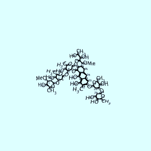 COC1C[C@H](O[C@@H]2C[C@H](O[C@@H]3C[C@H](O[C@@H]4C(=O)c5c(cc6cc(O[C@H]7C[C@@H](O[C@H]8C[C@@H](O)[C@H](O)C(C)O8)[C@H](O)C(C)O7)c(C)c(O)c6c5O)C[C@H]4C(OC)C(=O)[C@@H](O)[C@@H](C)O)OC(C)[C@H]3O)OC(C)[C@@H]2O)OC(C)[C@@H]1O